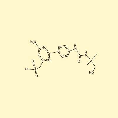 CC(C)S(=O)(=O)Cc1cc(N)nc(-c2ccc(NC(=O)NC(C)(C)CO)cc2)n1